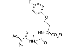 CCOC(=O)[C@H](CCOc1ccc(F)cc1)NC(=O)C(C)(C)NC(=S)[C@H](C(C)=O)C(C)C